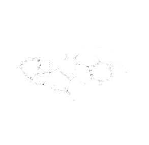 CCC1(c2ccccc2)C=C(N2Cc3ccc(OC)c(OC)c3C2C(=O)C=O)C(=O)NC1=O